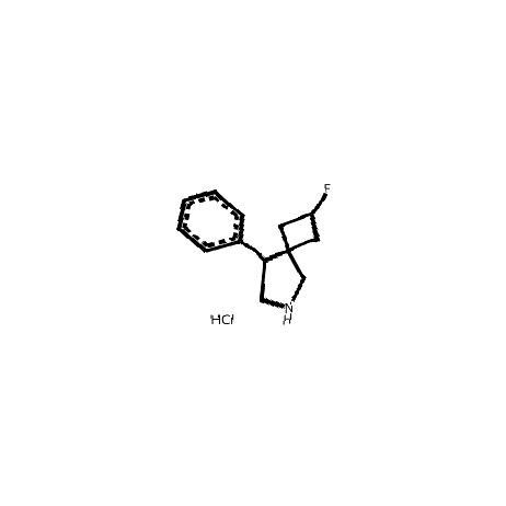 Cl.FC1CC2(CNCC2c2ccccc2)C1